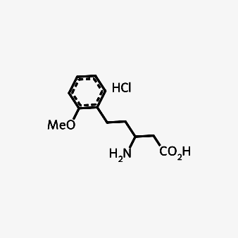 COc1ccccc1CCC(N)CC(=O)O.Cl